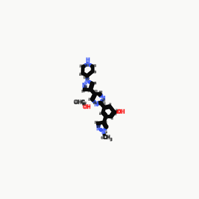 Cn1cc(-c2cc(O)cc(-c3ncc(-c4cnn(C5CCNCC5)c4)cn3)c2)cn1.O=CO